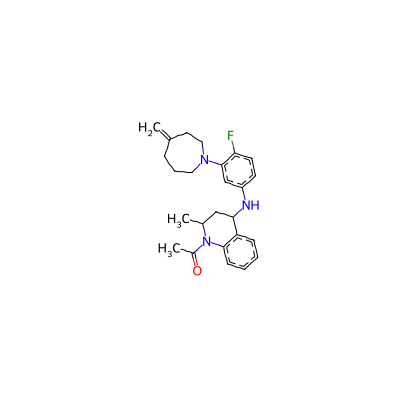 C=C1CCCN(c2cc(NC3CC(C)N(C(C)=O)c4ccccc43)ccc2F)CC1